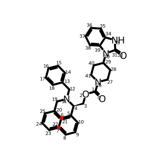 O=C(OC[C@@H](c1ccccc1)N(Cc1ccccc1)Cc1ccccc1)N1CCC(n2c(=O)[nH]c3ccccc32)CC1